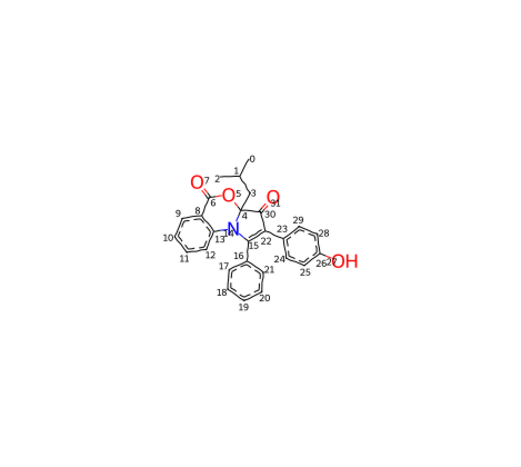 CC(C)CC12OC(=O)c3ccccc3N1C(c1ccccc1)=C(c1ccc(O)cc1)C2=O